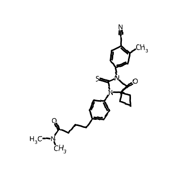 Cc1cc(N2C(=O)C3(CCC3)N(c3ccc(CCCC(=O)N(C)C)cc3)C2=S)ccc1C#N